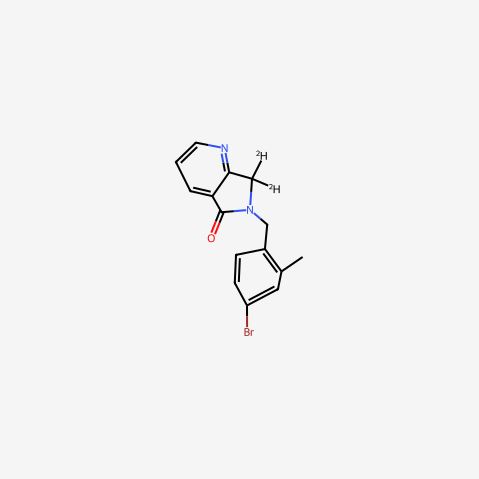 [2H]C1([2H])c2ncccc2C(=O)N1Cc1ccc(Br)cc1C